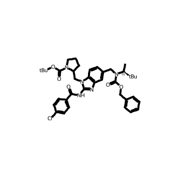 C[C@H](N(Cc1ccc2c(c1)nc(NC(=O)c1ccc(Cl)cc1)n2CC1CCCN1C(=O)OC(C)(C)C)C(=O)OCc1ccccc1)C(C)(C)C